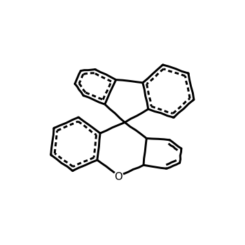 C1=CC2Oc3ccccc3C3(c4ccccc4-c4ccccc43)C2C=C1